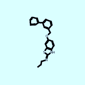 CCCN=c1[nH]c2ccc(OCc3cccc(-c4ccccc4)c3)cc2s1